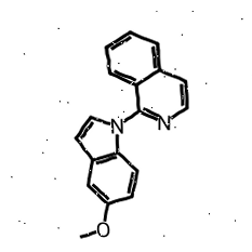 COc1ccc2c(ccn2-c2nccc3ccccc23)c1